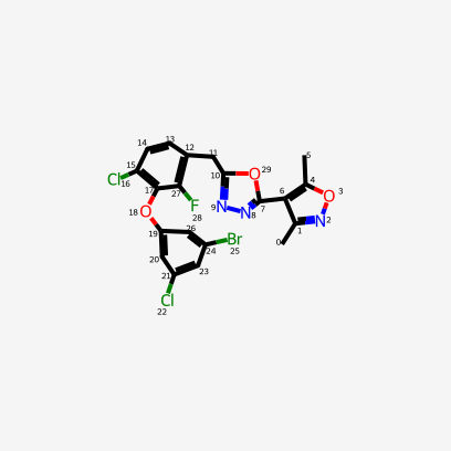 Cc1noc(C)c1-c1nnc(Cc2ccc(Cl)c(Oc3cc(Cl)cc(Br)c3)c2F)o1